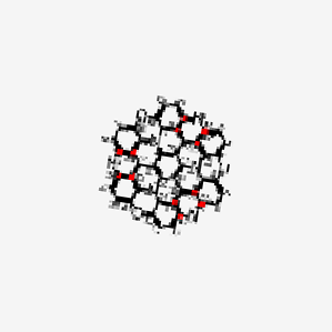 c1ccc2c(c1)Oc1ccccc1N2c1c(-c2ccncc2)c(N2c3ccccc3Oc3ccccc32)c(-c2ccncc2)c(N2c3ccccc3Oc3ccccc32)c1-c1ccncc1